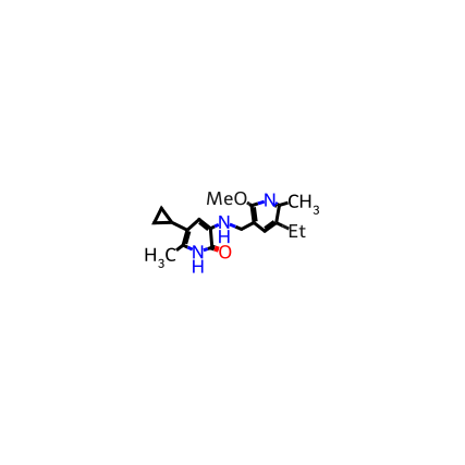 CCc1cc(CNc2cc(C3CC3)c(C)[nH]c2=O)c(OC)nc1C